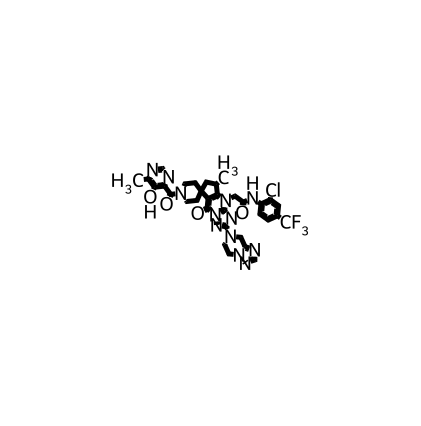 Cc1ncnc(C(=O)N2CCC3(CC2)CC(C)c2c3c(=O)n3nc(N4CCn5ncnc5C4)nc3n2CC(=O)Nc2ccc(C(F)(F)F)cc2Cl)c1O